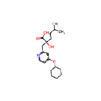 CC(C)CC[C@](O)(Cc1cc(OC2CCCCC2)ccn1)C(=O)O